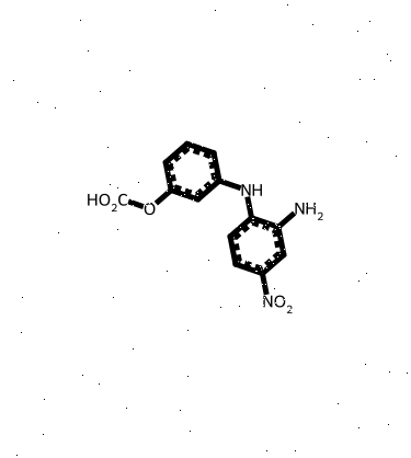 Nc1cc([N+](=O)[O-])ccc1Nc1cccc(OC(=O)O)c1